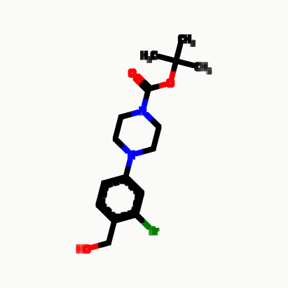 CC(C)(C)OC(=O)N1CCN(c2ccc(CO)c(Br)c2)CC1